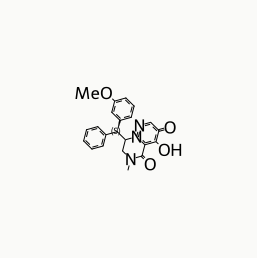 COc1cccc([C@H](c2ccccc2)C2CN(C)C(=O)c3c(O)c(=O)cnn32)c1